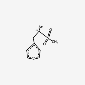 CC(=O)[C@H](Cc1ccccc1)S(C)(=O)=O